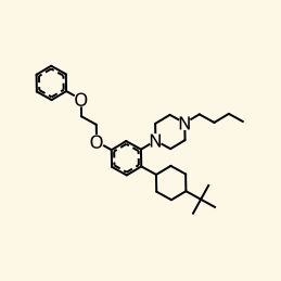 CCCCN1CCN(c2cc(OCCOc3ccccc3)ccc2C2CCC(C(C)(C)C)CC2)CC1